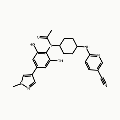 CC(=O)N(c1c(O)cc(-c2cnn(C)c2)cc1O)C1CCC(Nc2ccc(C#N)cn2)CC1